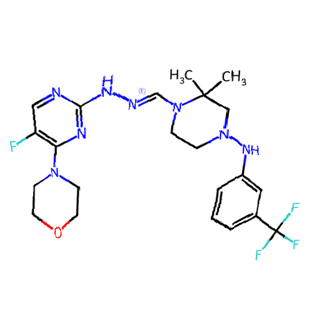 CC1(C)CN(Nc2cccc(C(F)(F)F)c2)CCN1/C=N/Nc1ncc(F)c(N2CCOCC2)n1